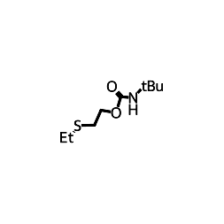 CCSCCOC(=O)NC(C)(C)C